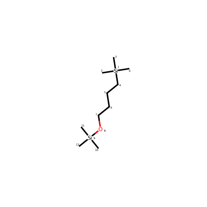 C[Si](C)(C)CCCCO[Si](C)(C)C